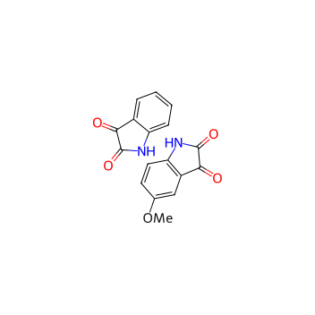 COc1ccc2c(c1)C(=O)C(=O)N2.O=C1Nc2ccccc2C1=O